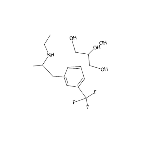 CCNC(C)Cc1cccc(C(F)(F)F)c1.Cl.OCC(O)CO